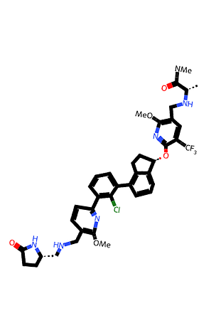 CNC(=O)[C@H](C)NCc1cc(C(F)(F)F)c(O[C@H]2CCc3c(-c4cccc(-c5ccc(CNC[C@@H]6CCC(=O)N6)c(OC)n5)c4Cl)cccc32)nc1OC